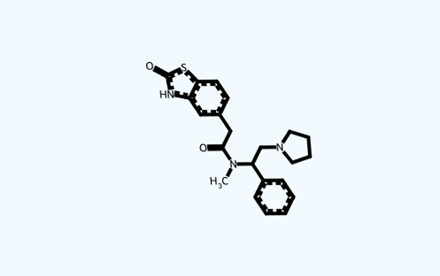 CN(C(=O)Cc1ccc2sc(=O)[nH]c2c1)C(CN1CCCC1)c1ccccc1